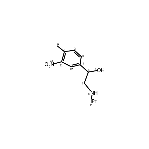 Cc1ccc(C(O)CNC(C)C)cc1[N+](=O)[O-]